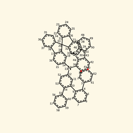 c1ccc(-c2ccccc2-c2cc(N(c3ccc4c(c3)C3(c5ccccc5-c5ccccc53)c3ccccc3-4)c3cccc4c3sc3ccccc34)ccc2-c2ccccc2)cc1